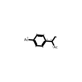 CC(=O)c1ccc(C(C)C(C)=O)cc1